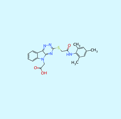 Cc1cc(C)c(NC(=O)CSc2nnc3c4ccccc4n(CC(=O)O)c3n2)c(C)c1